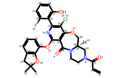 C=CC(=O)N1CCN2C(=O)c3c(Oc4cccc5c4OC(C)(C)C5)nc(-c4c(O)cccc4F)c(Cl)c3OC[C@H]2C1